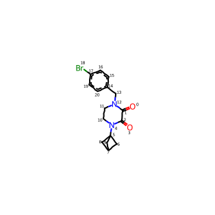 O=C1C(=O)N(C23CC(C2)C3)CCN1Cc1ccc(Br)cc1